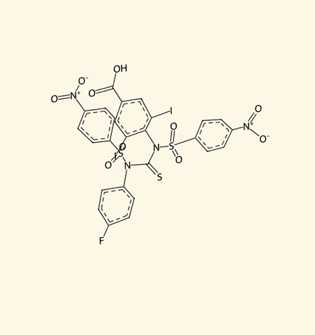 O=C(O)c1cc(I)c(N(C(=S)N(c2ccc(F)cc2)S(=O)(=O)c2ccc([N+](=O)[O-])cc2)S(=O)(=O)c2ccc([N+](=O)[O-])cc2)c(I)c1